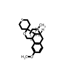 COc1ccc2c(c1)[C@]13CCN(C)[C@H](C2)[C@@H]1CC1(CCSCC1)OC3